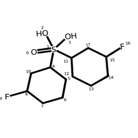 O=S(O)(O)(C1CCCC(F)C1)C1CCCC(F)C1